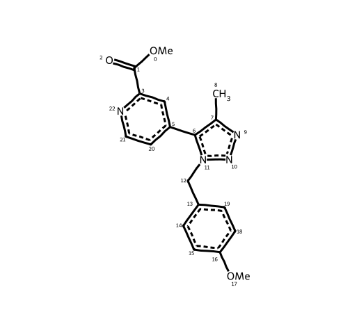 COC(=O)c1cc(-c2c(C)nnn2Cc2ccc(OC)cc2)ccn1